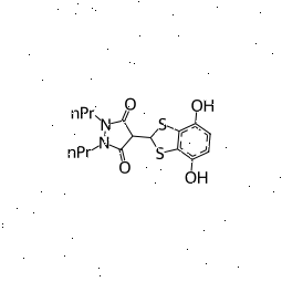 CCCN1C(=O)C(C2Sc3c(O)ccc(O)c3S2)C(=O)N1CCC